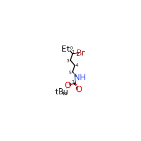 CCC(Br)CCCNC(=O)OC(C)(C)C